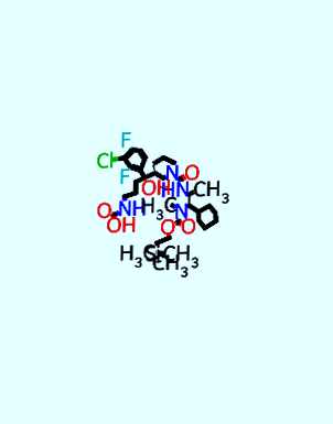 CC(NC(=O)N1CCC[C@@H]([C@@](O)(CCCNC(=O)O)c2ccc(F)c(Cl)c2F)C1)[C@@H](C1CCCCC1)N(C)C(=O)OCC[Si](C)(C)C